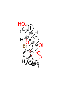 COc1ccc(Br)c(C[C@]23CCC4(CC(C)(C)COO4)C[C@]2(O)CC[C@H]2[C@@H]4CC[C@H](O)[C@@]4(C)C[C@H]4O[C@]423)c1